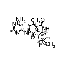 Cc1cc(Nc2cc(N)ncn2)c(=O)n2c1C(=O)NC21CCC(C)(F)CC1